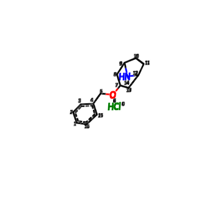 Cl.c1ccc(COC2CC3CCC(C2)N3)cc1